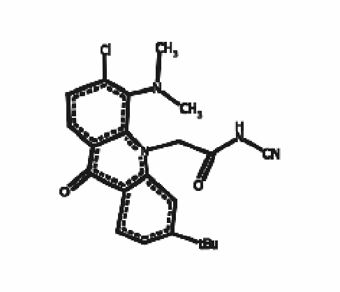 CN(C)c1c(Cl)ccc2c(=O)c3ccc(C(C)(C)C)cc3n(CC(=O)NC#N)c12